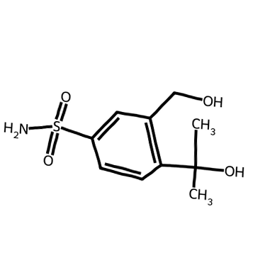 CC(C)(O)c1ccc(S(N)(=O)=O)cc1CO